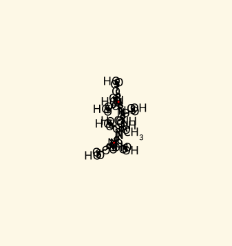 COc1cc(N=Nc2ccc(N=Nc3ccc(OCCCS(=O)(=O)O)cc3S(=O)(=O)O)c(OCCCS(=O)(=O)O)c2)c(OCCCS(=O)(=O)O)cc1NC(=O)Nc1cc(OCCCS(=O)(=O)O)c(N=Nc2ccc(N=Nc3ccc(OCCCS(=O)(=O)O)cc3S(=O)(=O)O)c(OCCCS(=O)(=O)O)c2)cc1OC